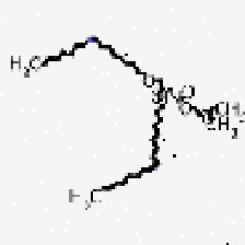 CCCCCCCC/C=C\CCCCCCCCOCC(CNC(=O)OCCN(C)CC)OCCCCCCCC/C=C\CCCCCCCC